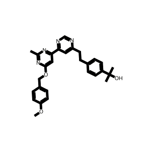 COc1ccc(COc2cc(-c3cc(CCc4ccc(C(C)(C)O)cc4)ncn3)nc(C)n2)cc1